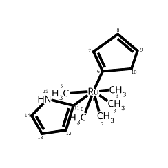 [CH3][Ru]([CH3])([CH3])([CH3])([CH3])([C]1=CC=CC1)[c]1ccc[nH]1